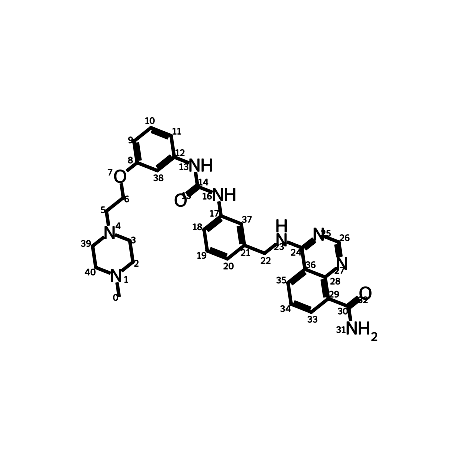 CN1CCN(CCOc2cccc(NC(=O)Nc3cccc(CNc4ncnc5c(C(N)=O)cccc45)c3)c2)CC1